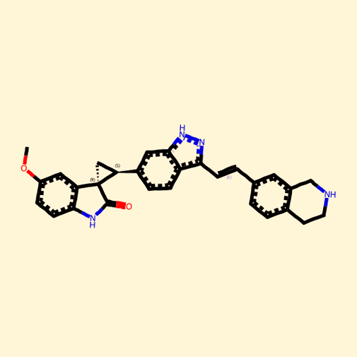 COc1ccc2c(c1)[C@]1(C[C@H]1c1ccc3c(/C=C/c4ccc5c(c4)CNCC5)n[nH]c3c1)C(=O)N2